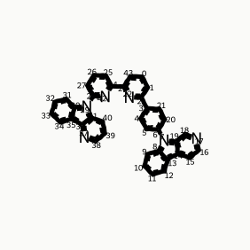 c1cc(-c2ccc(-n3c4ccccc4c4ccncc43)cc2)nc(-c2cccc(-n3c4ccccc4c4ncccc43)n2)c1